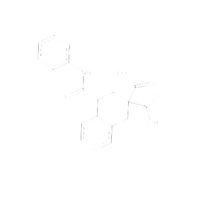 Cc1cccc2c1CC(C(=O)O)(C(=O)O)CC2C(=O)Nc1ccccc1